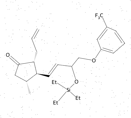 C=CC[C@H]1C(=O)C[C@@H](C)[C@@H]1/C=C/C(COc1cccc(C(F)(F)F)c1)O[Si](CC)(CC)CC